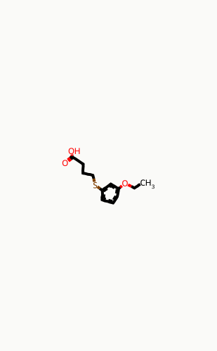 CCOc1cccc(SCCCC(=O)O)c1